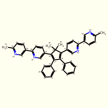 Cc1ccc(-c2ccc(C3=C(c4ccccc4)C(c4ccccc4)=C(c4ccc(-c5ccc(C)nc5)nc4)C3(C)C)cn2)cn1